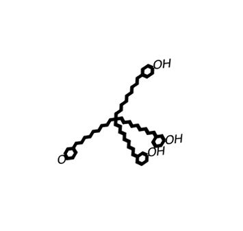 OC1CCC(CCCCCCCCCC(CCCCCCCCCC2CCCC(O)C2)(CCCCCCCCCC2CCCC(O)C2)CCCCCCCCCC2CCC3OC3C2)CC1